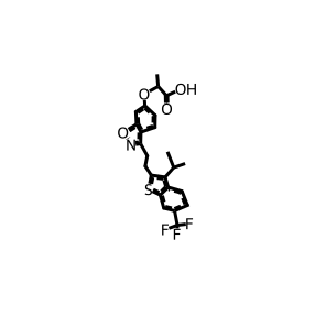 CC(Oc1ccc2c(CCc3sc4cc(C(F)(F)F)ccc4c3C(C)C)noc2c1)C(=O)O